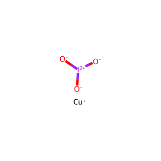 [Cu+].[O-][I+2]([O-])[O-]